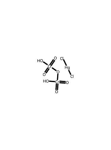 [Cl][Hg][Cl].[O]=[Cr](=[O])([OH])[O][Cr](=[O])(=[O])[OH]